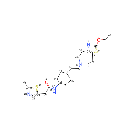 CCOc1nc2c(s1)CCN(CC[C@H]1CC[C@H](NC(=O)Cc3cnc(C)s3)CC1)CC2